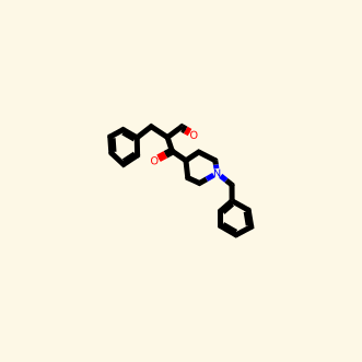 O=CC(Cc1ccccc1)C(=O)C1CCN(Cc2ccccc2)CC1